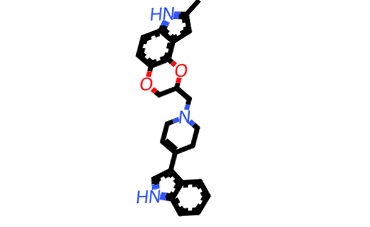 Cc1cc2c3c(ccc2[nH]1)OCC(CN1CC=C(c2c[nH]c4ccccc24)CC1)O3